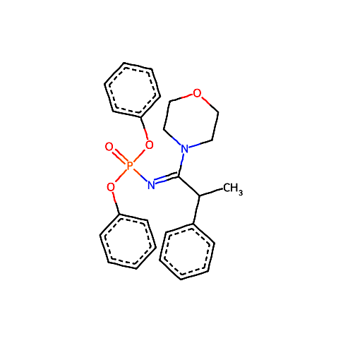 CC(C(=NP(=O)(Oc1ccccc1)Oc1ccccc1)N1CCOCC1)c1ccccc1